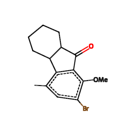 COc1c(Br)cc(C)c2c1C(=O)C1CCCCC21